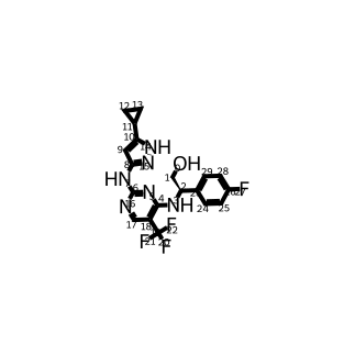 OC[C@H](Nc1nc(Nc2cc(C3CC3)[nH]n2)ncc1C(F)(F)F)c1ccc(F)cc1